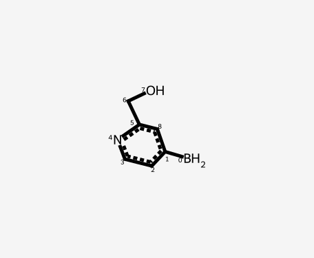 Bc1ccnc(CO)c1